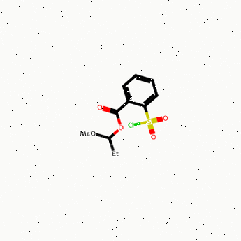 CCC(OC)OC(=O)c1ccccc1S(=O)(=O)Cl